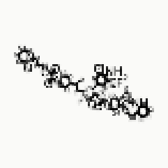 CC(CCN(C)C(=O)[C@@H](Cc1cc(Cl)c(N)c(C(F)(F)F)c1)OC(=O)N1CCC(N2CCc3ccccc3NC2=O)CC1)C1CCN(C(=O)C(=O)OCCCN2CCCCC2=O)CC1